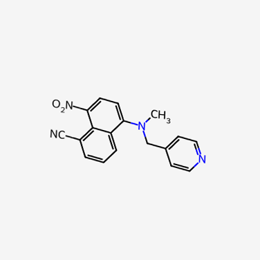 CN(Cc1ccncc1)c1ccc([N+](=O)[O-])c2c(C#N)cccc12